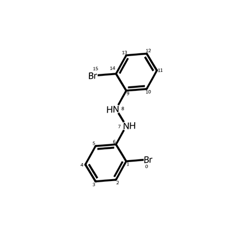 Brc1ccccc1NNc1ccccc1Br